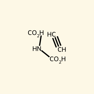 C#C.O=C(O)NC(=O)O